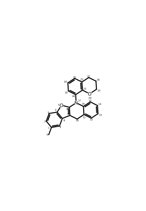 Cc1ccc2oc3c(c2c1)Cc1ccccc1N3c1cccc2c1OCCC2